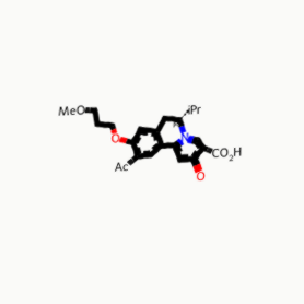 COCCCOc1cc2c(cc1C(C)=O)-c1cc(=O)c(C(=O)O)cn1[C@@H](C(C)C)C2